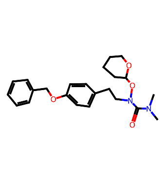 CN(C)C(=O)N(CCc1ccc(OCc2ccccc2)cc1)OC1CCCCO1